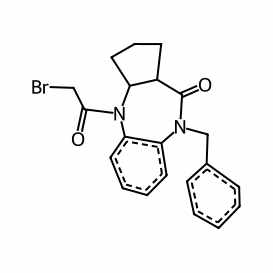 O=C1C2CCCC2N(C(=O)CBr)c2ccccc2N1Cc1ccccc1